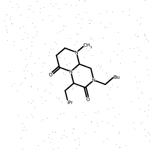 CCC(C)CN1CC2N(C)CCC(=O)N2C(CC(C)C)C1=O